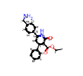 CCOC(=O)c1c(-c2ccccc2)cc(-c2ccc(CN)cc2)[nH]c1=O